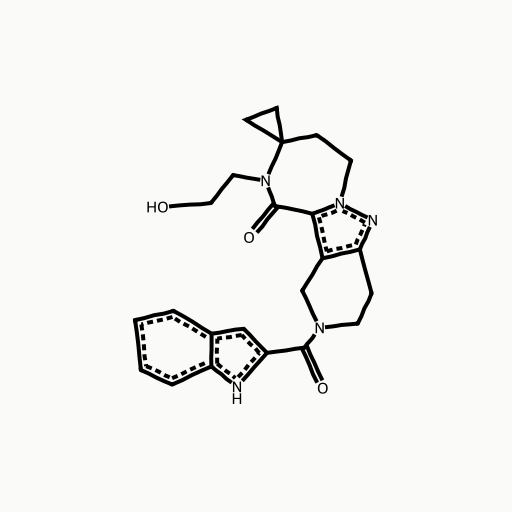 O=C(c1cc2ccccc2[nH]1)N1CCc2nn3c(c2C1)C(=O)N(CCO)C1(CC3)CC1